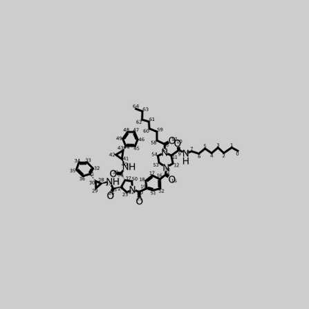 CCCCCCCCNC(=O)C1CN(C(=O)c2ccc(C(=O)N3C[C@@H](C(=O)N[C@H]4C[C@@H]4c4ccccc4)[C@H](C(=O)N[C@H]4C[C@@H]4c4ccccc4)C3)cc2)CCN1C(=O)CCCCCCC